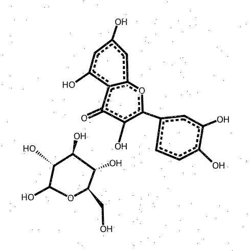 O=c1c(O)c(-c2ccc(O)c(O)c2)oc2cc(O)cc(O)c12.OC[C@H]1OC(O)[C@H](O)[C@@H](O)[C@@H]1O